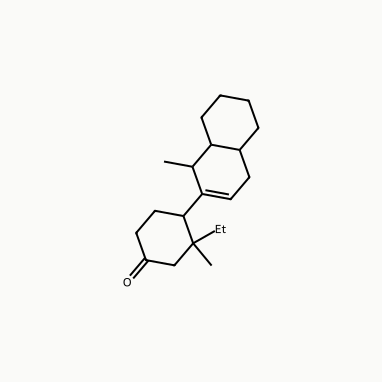 CCC1(C)CC(=O)CCC1C1=CCC2CCCCC2C1C